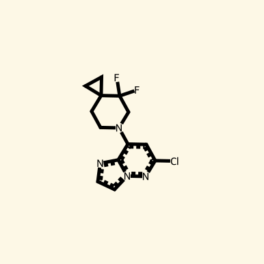 FC1(F)CN(c2cc(Cl)nn3ccnc23)CCC12CC2